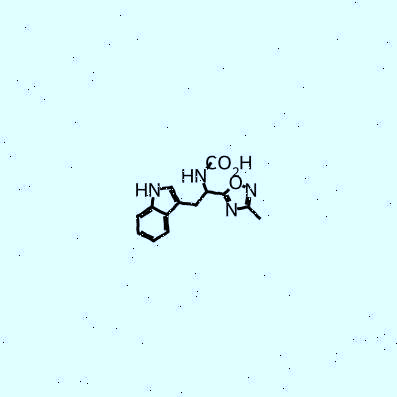 Cc1noc(C(Cc2c[nH]c3ccccc23)NC(=O)O)n1